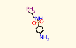 Nc1ccc(S(=O)(=O)NCCCP)cc1